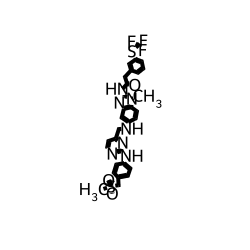 Cn1c(NC(=O)Cc2cccc(SC(F)(F)F)c2)nc2cc(NCc3ccnc(Nc4ccc(CS(C)(=O)=O)cc4)n3)ccc21